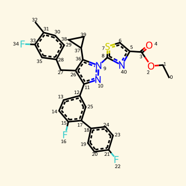 CCOC(=O)c1csc(-n2nc(-c3ccc(F)c(-c4ccc(F)cc4)c3)c(Cc3ccc(C)c(F)c3)c2C2CC2)n1